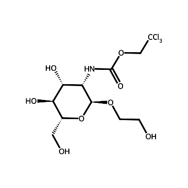 O=C(N[C@@H]1[C@@H](OCCO)O[C@H](CO)[C@@H](O)[C@@H]1O)OCC(Cl)(Cl)Cl